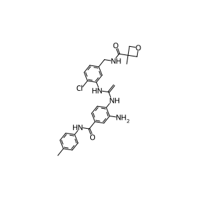 C=C(Nc1ccc(C(=O)Nc2ccc(C)cc2)cc1N)Nc1cc(CNC(=O)C2(C)COC2)ccc1Cl